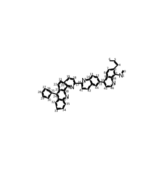 C=Nc1c(/C=C\C)ccc2c(-c3ccc4nc(-c5ccc6ccc7c(-c8ccccc8)c8ccccc8nc7c6n5)ccc4c3)ccnc12